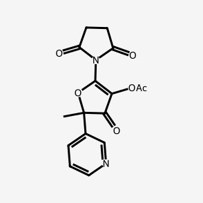 CC(=O)OC1=C(N2C(=O)CCC2=O)OC(C)(c2cccnc2)C1=O